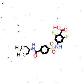 CCC(CC)NC(=O)c1ccc(S(=O)(=O)Nc2cc(F)c(C(=O)O)c(F)c2)cc1